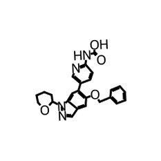 O=C(O)Nc1ccc(-c2cc3c(cnn3C3CCCCO3)cc2OCc2ccccc2)cn1